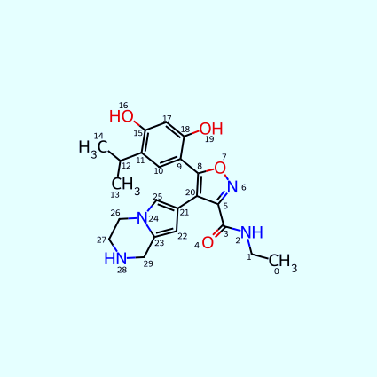 CCNC(=O)c1noc(-c2cc(C(C)C)c(O)cc2O)c1-c1cc2n(c1)CCNC2